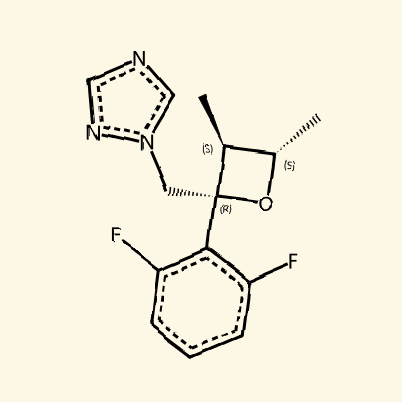 C[C@@H]1O[C@@](Cn2cncn2)(c2c(F)cccc2F)[C@H]1C